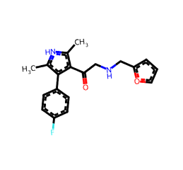 Cc1[nH]c(C)c(-c2ccc(F)cc2)c1C(=O)CNCc1ccco1